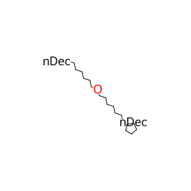 C1CCCC1.CCCCCCCCCCCCCCCCOCCCCCCCCCCCCCCCC